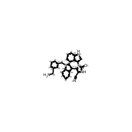 N#Cc1[nH]c(=O)n(-c2c[nH]c3ccccc23)c1-c1cn(Cc2cccc(CN)c2)c2ccccc12